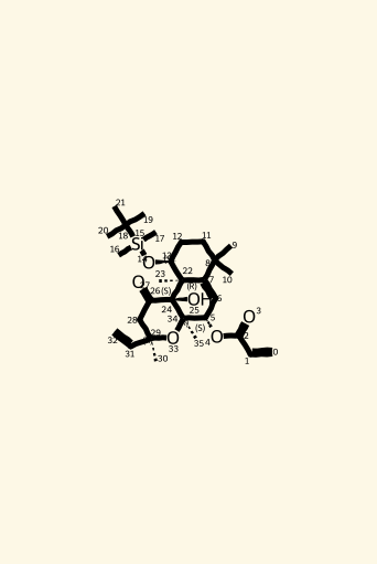 C=CC(=O)O[C@H]1C=C2C(C)(C)CC[C@H](O[Si](C)(C)C(C)(C)C)[C@]2(C)[C@@]2(O)C(=O)C[C@](C)(C=C)O[C@]12C